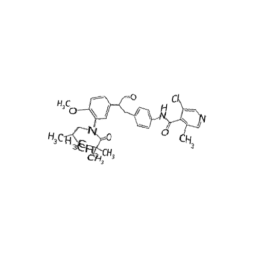 COc1ccc(C(C=O)Cc2ccc(NC(=O)c3c(C)cncc3Cl)cc2)cc1N(CC(C)C)C(=O)C(C)(C)C